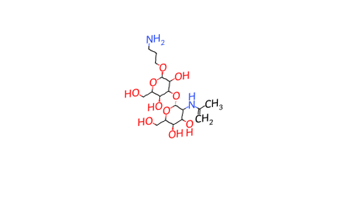 C=C(C)NC1C(O)[C@@H](O)C(CO)O[C@@H]1OC1C(O)[C@H](OCCCN)OC(CO)[C@@H]1O